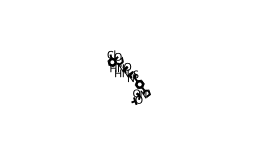 CC(C)(C)OC(=O)N1CCCC1c1ccc(-c2nc(NC(=O)N[C@H]3CCOc4c(Cl)cccc43)cs2)cc1